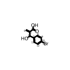 C=C(C(=O)O)C(O)c1ccc(Br)cc1